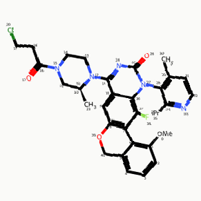 COc1cccc2c1-c1c(cc3c(N4CCN(C(=O)CCCl)C[C@@H]4C)nc(=O)n(-c4c(C)ccnc4C(C)C)c3c1F)OC2